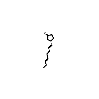 CC/C=C/CC/C=C/[C@H]1CCC(=O)C1